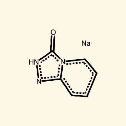 O=c1[nH]nc2ccccn12.[Na]